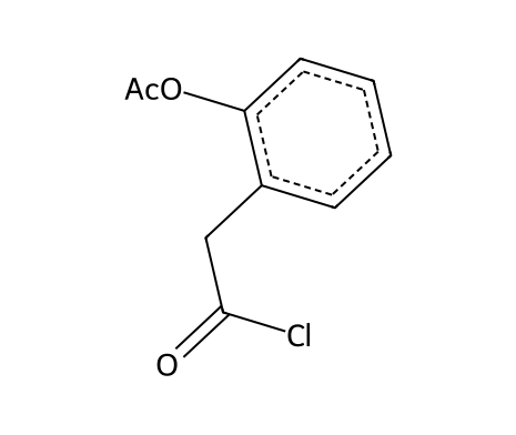 CC(=O)Oc1ccccc1CC(=O)Cl